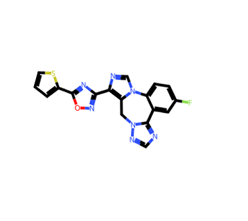 Fc1ccc2c(c1)-c1ncnn1Cc1c(-c3noc(-c4cccs4)n3)ncn1-2